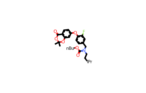 CCCCOC(=O)N(CCC(C)C)Cc1ccc(Oc2ccc3c(c2)OC(C)(C)OC3=O)c(F)c1